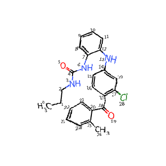 CCCNC(=O)Nc1ccccc1Nc1ccc(C(=O)c2ccccc2C)c(Cl)c1